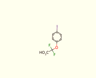 O=C(O)C(F)(F)Oc1ccc(I)cc1